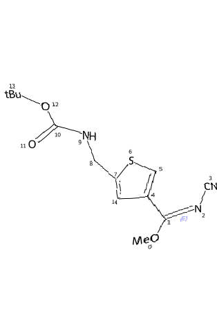 CO/C(=N/C#N)c1csc(CNC(=O)OC(C)(C)C)c1